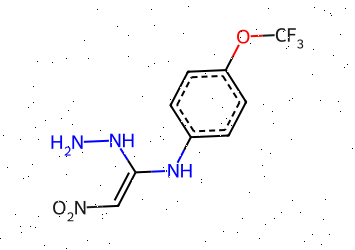 NNC(=C[N+](=O)[O-])Nc1ccc(OC(F)(F)F)cc1